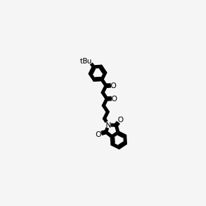 CC(C)(C)c1ccc(C(=O)CC(=O)CCCN2C(=O)c3ccccc3C2=O)cc1